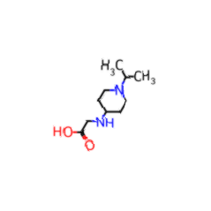 CC(C)N1CCC(NCC(=O)O)CC1